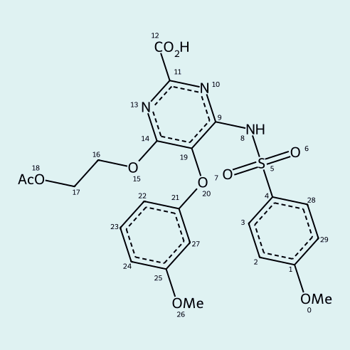 COc1ccc(S(=O)(=O)Nc2nc(C(=O)O)nc(OCCOC(C)=O)c2Oc2cccc(OC)c2)cc1